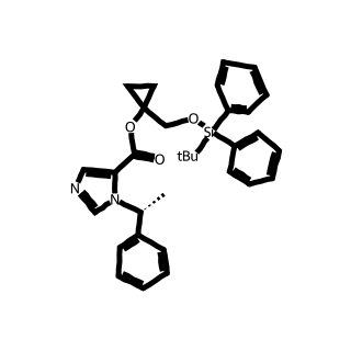 C[C@H](c1ccccc1)n1cncc1C(=O)OC1(CO[Si](c2ccccc2)(c2ccccc2)C(C)(C)C)CC1